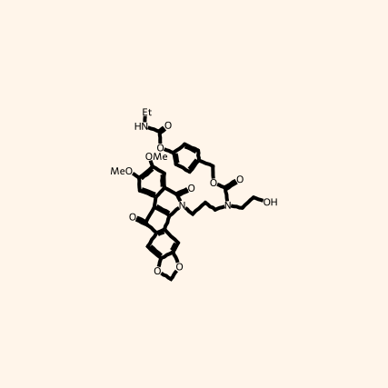 CCNC(=O)Oc1ccc(COC(=O)N(CCO)CCCn2c3c(c4cc(OC)c(OC)cc4c2=O)C(=O)c2cc4c(cc2-3)OCO4)cc1